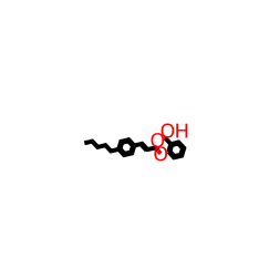 CCCCCc1ccc(C=CCOc2ccccc2C(=O)O)cc1